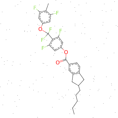 CCCCCC1Cc2ccc(C(=O)Oc3cc(F)c(C(F)(F)Oc4cc(F)c(C)c(F)c4)c(F)c3)cc2C1